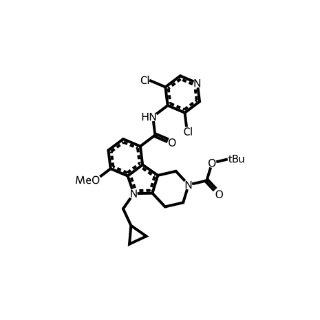 COc1ccc(C(=O)Nc2c(Cl)cncc2Cl)c2c3c(n(CC4CC4)c12)CCN(C(=O)OC(C)(C)C)C3